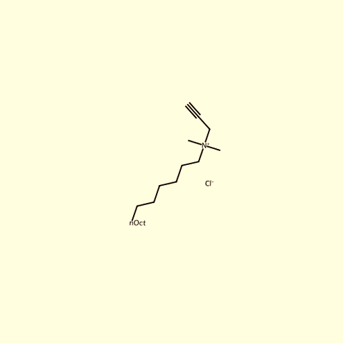 C#CC[N+](C)(C)CCCCCCCCCCCCCC.[Cl-]